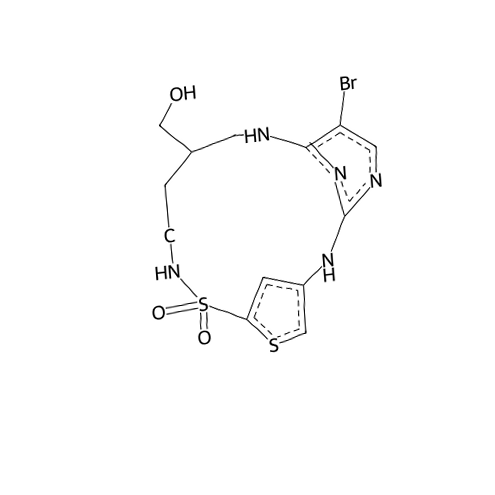 O=S1(=O)NCCC(CO)CNc2nc(ncc2Br)Nc2csc1c2